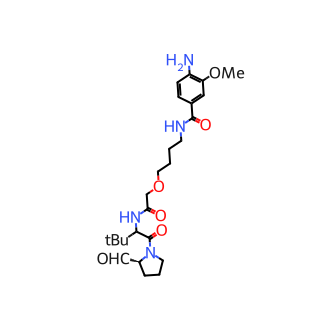 COc1cc(C(=O)NCCCCOCC(=O)NC(C(=O)N2CCC[C@H]2C=O)C(C)(C)C)ccc1N